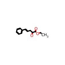 CCOC(=O)C(=O)CC=Cc1ccccc1